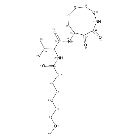 COCCOCCOC(=O)NC(C(=O)NC1CCCCONC(=O)C1=O)C(C)C